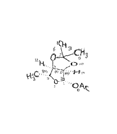 CC(=O)O[C@@H]1O[C@H](C)[C@H]2OC(C)(C)O[C@@H]12